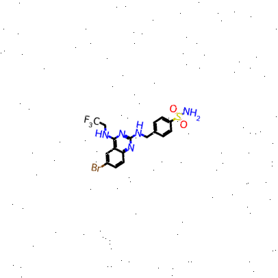 NS(=O)(=O)c1ccc(CNc2nc(NCC(F)(F)F)c3cc(Br)ccc3n2)cc1